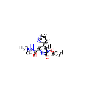 CN(C)NC(=O)[C@@H]1CC[C@@H]2CN1C(=O)N2OS(=O)(=O)O.c1ccncc1